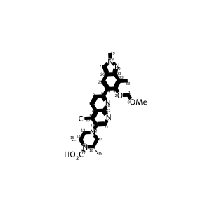 COCOc1c(-c2ccc3c(Cl)c(N4C[C@@H](C)N(C(=O)O)[C@@H](C)C4)cnc3n2)cc2cn(C)nc2c1C